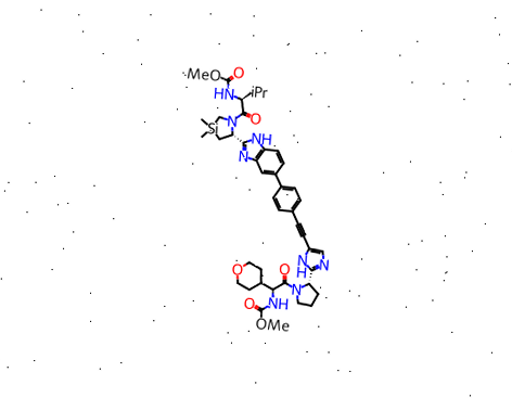 COC(=O)N[C@H](C(=O)N1C[Si](C)(C)C[C@H]1c1nc2cc(-c3ccc(C#Cc4cnc([C@@H]5CCCN5C(=O)[C@@H](NC(=O)OC)C5CCOCC5)[nH]4)cc3)ccc2[nH]1)C(C)C